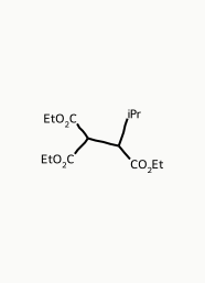 CCOC(=O)C(C(=O)OCC)C(C(=O)OCC)C(C)C